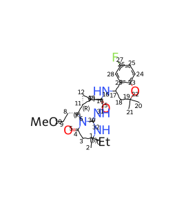 CC[C@@]1(C)CC(=O)N([C@H](CCOC)[C@@H]2C[C@H]2C(=O)NC2CC(C)(C)Oc3ccc(F)cc32)C(=N)N1